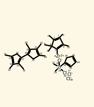 CC1=C(C)C(C)(C)[C]([Zr+2])=C1C.CC1=C(C)C(C)=C(C2=C(C)C(C)=C(C)C2)C1.[CH3][Zr]([CH3])([Cl])([Cl])[C]1=CC=CC1.[Cl-].[Cl-]